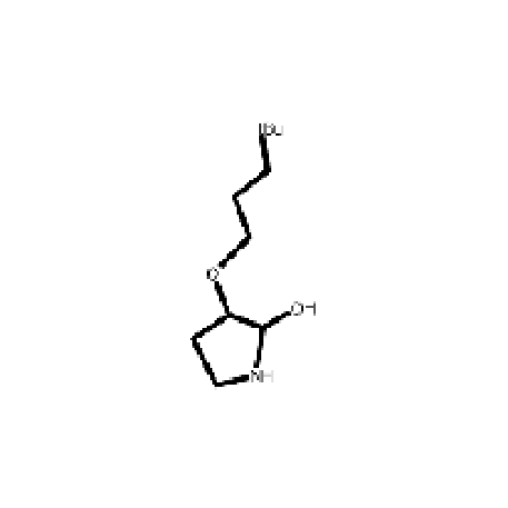 CC(C)(C)CCCOC1CCNC1O